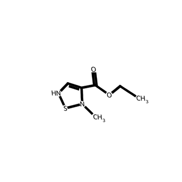 CCOC(=O)C1=CNSN1C